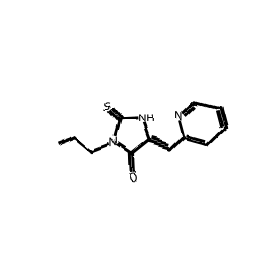 CCCN1C(=O)C(=Cc2ccccn2)NC1=S